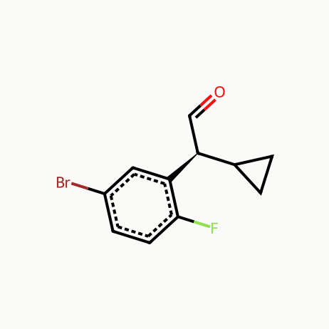 O=C[C@H](c1cc(Br)ccc1F)C1CC1